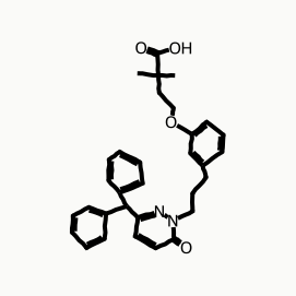 CC(C)(CCOc1cccc(CCCn2nc(C(c3ccccc3)c3ccccc3)ccc2=O)c1)C(=O)O